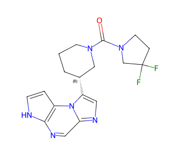 O=C(N1CCC[C@@H](c2cnc3cnc4[nH]ccc4n23)C1)N1CCC(F)(F)C1